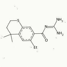 CCc1cc2c(cc1C(=O)N=C(N)N)SCCC2(C)C